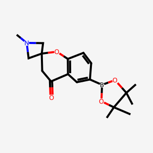 CN1CC2(CC(=O)c3cc(B4OC(C)(C)C(C)(C)O4)ccc3O2)C1